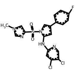 Cn1cnc(S(=O)(=O)n2cc(-c3ccc(F)cc3)cc2Nc2cc(Cl)c(Cl)cn2)c1